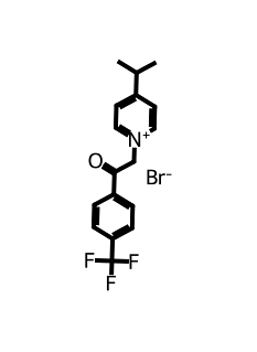 CC(C)c1cc[n+](CC(=O)c2ccc(C(F)(F)F)cc2)cc1.[Br-]